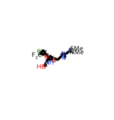 CN/C(C#Cc1cnc(C#CCCOc2ccc(OCc3ccc(F)c(C(F)(F)F)c3)c(CNCCO)c2)cn1)=C\SC